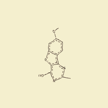 COc1ccc2c(c1)oc1c(O)nc(C)nc12